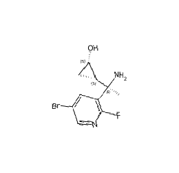 C[C@](N)(c1cc(Br)cnc1F)[C@@H]1C[C@@H]1O